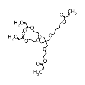 C=CC(=O)OCCCCOCC(COCCOC(=O)C=C)(COCCOC(=O)C=C)COCCOC(=O)C=C